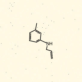 C=CCNc1cccc(C)c1